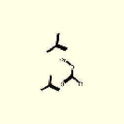 C=C(C)C.C=C(C)C.CCCOC(=O)CC